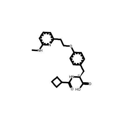 CNc1cccc(CCOc2ccc(C[C@H](NC(=O)C3CCC3)C(=O)O)cc2)n1